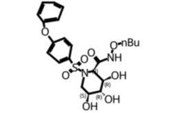 CCCCONC(=O)[C@H]1[C@@H](O)[C@H](O)[C@@H](O)CN1S(=O)(=O)c1ccc(Oc2ccccc2)cc1